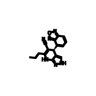 CCCC1=C(C#N)[C@H](c2cccc3nonc23)c2c[nH]nc2N1